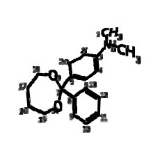 CN(C)C1=CC=C(C2(c3ccccc3)OCCCCO2)CC1